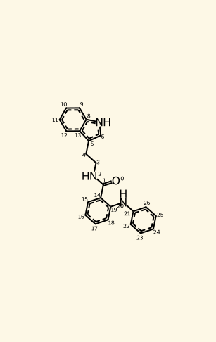 O=C(NCCc1c[nH]c2ccccc12)c1ccccc1Nc1ccccc1